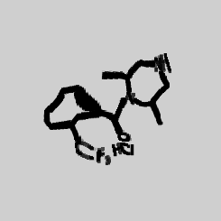 CC1CNCC(C)N1C(=O)c1ccccc1C(F)(F)F.Cl